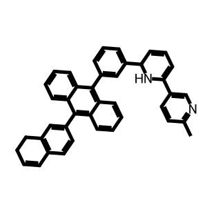 Cc1ccc(C2=CC=CC(c3cccc(-c4c5ccccc5c(-c5ccc6c(c5)CCC=C6)c5ccccc45)c3)N2)cn1